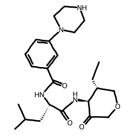 CC[C@@H]1COCC(=O)[C@H]1NC(=O)[C@H](CC(C)C)NC(=O)c1cccc(N2CCNCC2)c1